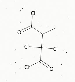 CC(C(=O)Cl)C(Cl)(Cl)C(=O)Cl